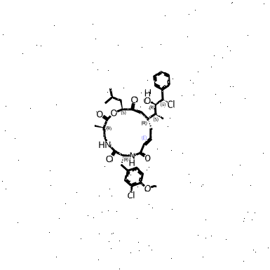 COc1ccc(C[C@H]2NC(=O)/C=C/C[C@@H]([C@H](C)[C@@H](O)[C@@H](Cl)c3ccccc3)CC(=O)[C@H](CC(C)C)OC(=O)[C@H](C)CNC2=O)cc1Cl